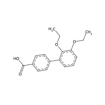 CCOc1cccc(-c2ccc(C(=O)O)cc2)c1OCC